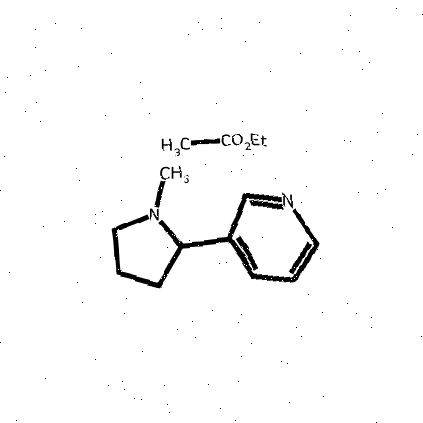 CCOC(C)=O.CN1CCCC1c1cccnc1